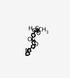 CN(C)C(=O)C(=O)c1ccc(C(=O)N2CCOc3ccc(-c4cnc5ccccc5c4)cc3C2)cc1